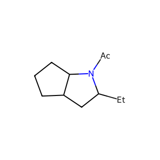 CCC1CC2CCCC2N1C(C)=O